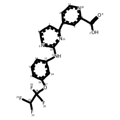 O=C(O)c1cc(-c2ccnc(Nc3cccc(OC(F)(F)C(F)F)c3)n2)ccn1